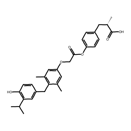 Cc1cc(OCC(=O)Oc2ccc(C[C@H](C)C(=O)O)cc2)cc(C)c1Cc1ccc(O)c(C(C)C)c1